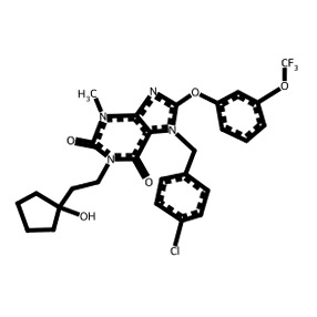 Cn1c(=O)n(CCC2(O)CCCC2)c(=O)c2c1nc(Oc1cccc(OC(F)(F)F)c1)n2Cc1ccc(Cl)cc1